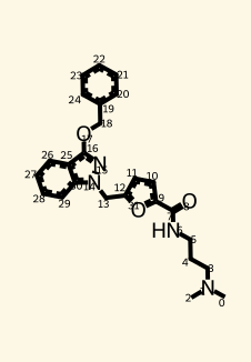 CN(C)CCCNC(=O)c1ccc(Cn2nc(OCc3ccccc3)c3ccccc32)o1